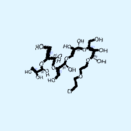 O/C=C(\O)[C@H](O)O/C(=C\O)[C@H](O)O/C(=C\O)[C@H](O)OC=C(O)[C@H](O)O/C(CO)=C(/O)[C@H](O)OCCOCCCl